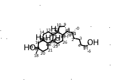 C[C@H](CCC[C@@H](C)O)[C@H]1CC[C@H]2[C@@H]3CC[C@H]4C[C@@](C)(O)CC[C@]4(C)[C@H]3CC[C@]12C